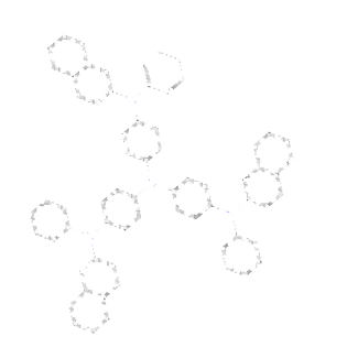 C1=CC(N(c2ccc(N(c3ccc(N(c4ccccc4)c4ccc5ccccc5c4)cc3)c3ccc(N(c4ccccc4)c4ccc5ccccc5c4)cc3)cc2)c2ccc3ccccc3c2)=CCC1